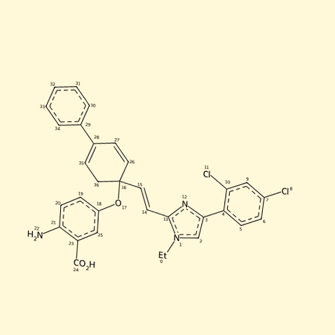 CCn1cc(-c2ccc(Cl)cc2Cl)nc1C=CC1(Oc2ccc(N)c(C(=O)O)c2)C=CC(c2ccccc2)=CC1